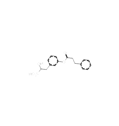 O=C(CCc1ccccc1)Oc1cccc(CC(O)C(=O)O)c1